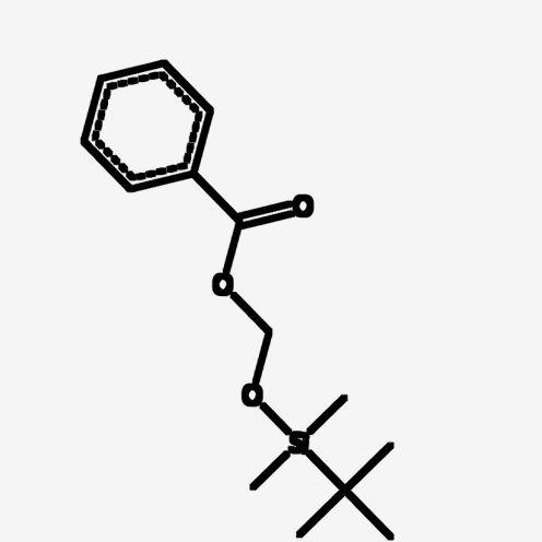 CC(C)(C)[Si](C)(C)OCOC(=O)c1ccccc1